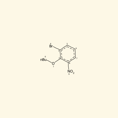 CCCCOc1c(Br)cccc1[N+](=O)[O-]